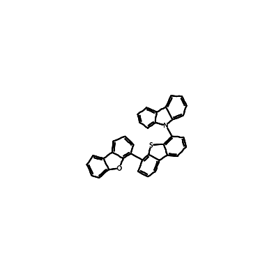 c1ccc2c(c1)oc1c(-c3cccc4c3sc3c(-n5c6ccccc6c6ccccc65)cccc34)cccc12